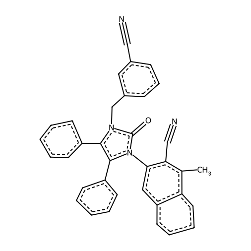 Cc1c(C#N)c(-n2c(-c3ccccc3)c(-c3ccccc3)n(Cc3cccc(C#N)c3)c2=O)cc2ccccc12